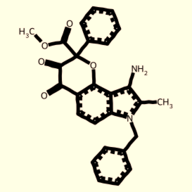 COC(=O)C1(c2ccccc2)Oc2c(ccc3c2c(N)c(C)n3Cc2ccccc2)C(=O)C1=O